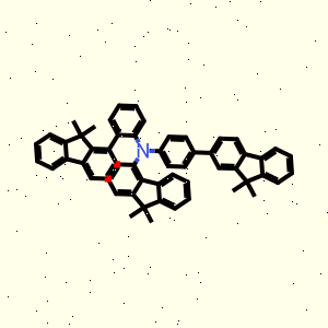 CC1(C)c2ccccc2-c2ccc(-c3ccc(N(c4ccccc4-c4cccc5c4C(C)(C)c4ccccc4-5)c4cccc5c4-c4ccccc4C5(C)C)cc3)cc21